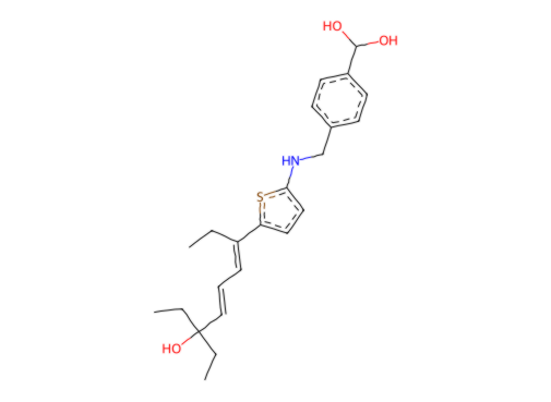 CCC(=CC=CC(O)(CC)CC)c1ccc(NCc2ccc(C(O)O)cc2)s1